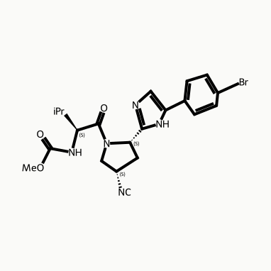 [C-]#[N+][C@H]1C[C@@H](c2ncc(-c3ccc(Br)cc3)[nH]2)N(C(=O)[C@@H](NC(=O)OC)C(C)C)C1